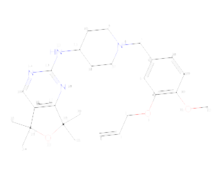 C=CCOc1cc(CN2CCC(Nc3ncc4c(n3)C(C)(C)OC4(C)C)CC2)ccc1OC